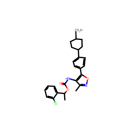 Cc1noc(-c2ccc(C3CCC(C(=O)O)CC3)cc2)c1NC(=O)OC(C)c1ccccc1Cl